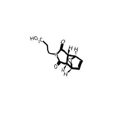 O=C(O)CCN1C(=O)[C@@H]2[C@H](C1=O)[C@H]1C=C[C@H]2O1